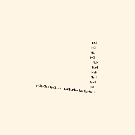 Cl.Cl.Cl.Cl.Cl.Cl.Cl.Cl.[NaH].[NaH].[NaH].[NaH].[NaH].[NaH].[NaH].[NaH].[NaH].[NaH].[NaH].[NaH].[NaH]